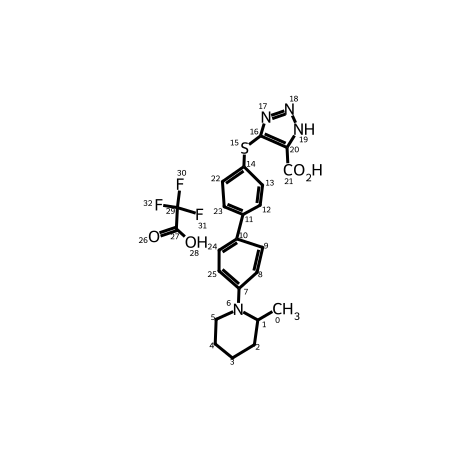 CC1CCCCN1c1ccc(-c2ccc(Sc3nn[nH]c3C(=O)O)cc2)cc1.O=C(O)C(F)(F)F